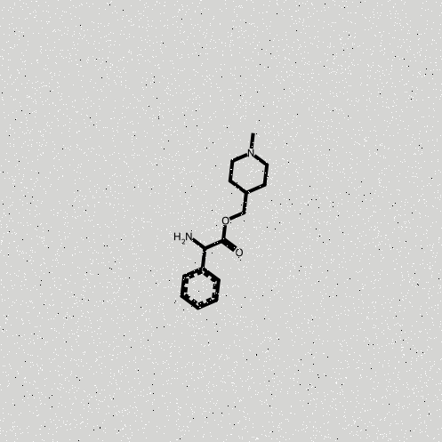 CN1CCC(COC(=O)C(N)c2ccccc2)CC1